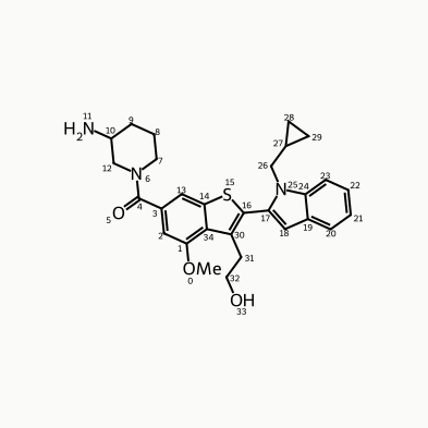 COc1cc(C(=O)N2CCCC(N)C2)cc2sc(-c3cc4ccccc4n3CC3CC3)c(CCO)c12